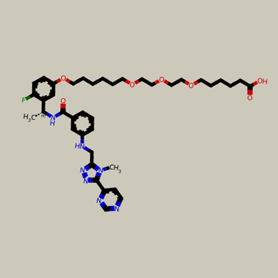 C[C@@H](NC(=O)c1cccc(NCc2nnc(-c3ccncn3)n2C)c1)c1cc(OCCCCCCOCCOCCOCCCCCC(=O)O)ccc1F